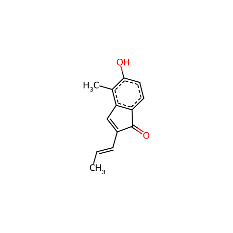 CC=CC1=Cc2c(ccc(O)c2C)C1=O